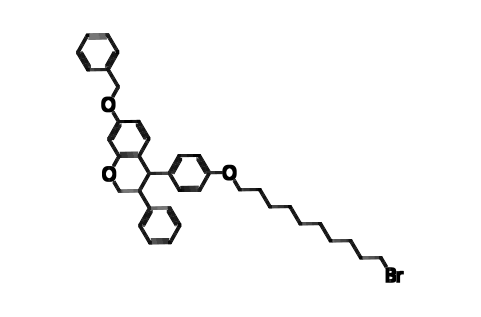 BrCCCCCCCCCCOc1ccc(C2c3ccc(OCc4ccccc4)cc3OCC2c2ccccc2)cc1